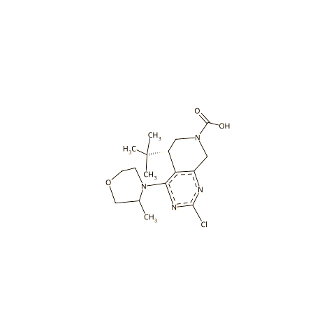 CC1COCCN1c1nc(Cl)nc2c1[C@H](C(C)(C)C)CN(C(=O)O)C2